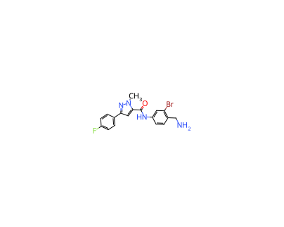 Cn1nc(-c2ccc(F)cc2)cc1C(=O)Nc1ccc(CN)c(Br)c1